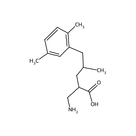 Cc1ccc(C)c(CC(C)CC(CN)C(=O)O)c1